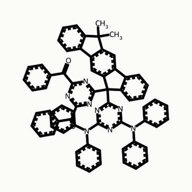 CC1(C)c2ccccc2-c2cc3c(cc21)-c1ccccc1C3(c1nc(C(=O)c2ccccc2)nc(C(=O)c2ccccc2)n1)c1nc(N(c2ccccc2)c2ccccc2)nc(N(c2ccccc2)c2ccccc2)n1